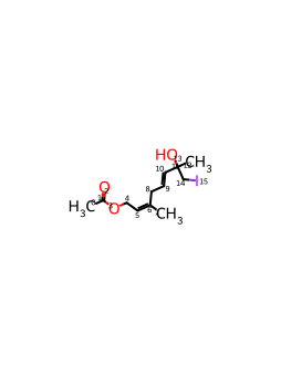 CC(=O)OCC=C(C)CC=CC(C)(O)CI